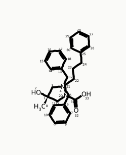 C[C@@](O)(CN(Cc1ccccc1)Cc1ccccc1)CN(CCCCc1ccccc1)C(=O)O